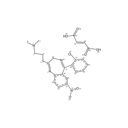 CN(C)CCSC1=Nc2ccc([N+](=O)[O-])cc2C(c2ccccc2Cl)=NC1.O=C(O)C=CC(=O)O